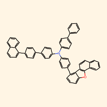 c1ccc(-c2ccc(N(c3ccc(-c4ccc(-c5cccc6ccccc56)cc4)cc3)c3ccc(-c4cccc5oc6c7ccccc7ccc6c45)cc3)cc2)cc1